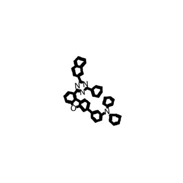 c1ccc(-c2nc(-c3ccc4ccccc4c3)nc(-c3cccc4oc5cc(-c6cccc(N(c7ccccc7)c7ccccc7)c6)ccc5c34)n2)cc1